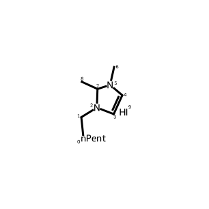 CCCCCCN1C=CN(C)C1C.I